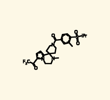 Cc1cc(C(=O)N2CCC3(CC2)c2ccc(C(=O)C(F)(F)F)n2CCN3C)ccc1S(=O)(=O)C(C)C